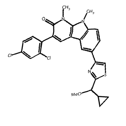 COC(c1nc(-c2ccc3c(c2)c2cc(-c4ccc(Cl)cc4Cl)c(=O)n(C)c2n3C)cs1)C1CC1